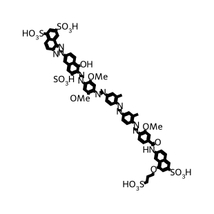 COc1cc(N=Nc2c(S(=O)(=O)O)cc3cc(-n4nc5ccc6c(S(=O)(=O)O)cc(S(=O)(=O)O)cc6c5n4)ccc3c2O)c(OC)cc1N=Nc1ccc(N=Nc2ccc(N=Nc3ccc(C(=O)Nc4ccc5cc(S(=O)(=O)O)cc(OCCCS(=O)(=O)O)c5c4)cc3OC)c(C)c2)c(C)c1